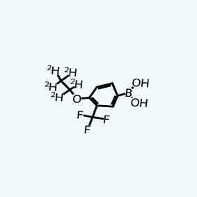 [2H]C([2H])([2H])C([2H])([2H])Oc1ccc(B(O)O)cc1C(F)(F)F